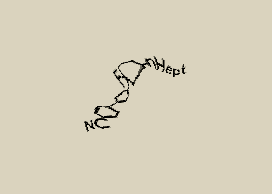 CCCCCCCC1CCC(F)(c2ccc(-c3ccc(C#N)cc3)cc2)CC1